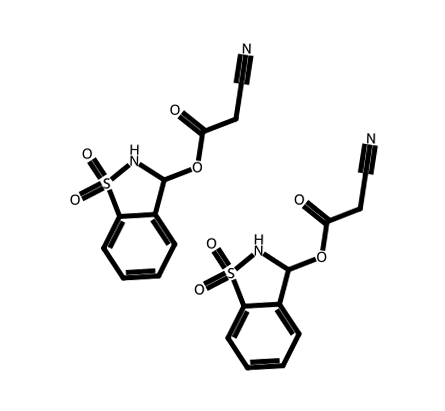 N#CCC(=O)OC1NS(=O)(=O)c2ccccc21.N#CCC(=O)OC1NS(=O)(=O)c2ccccc21